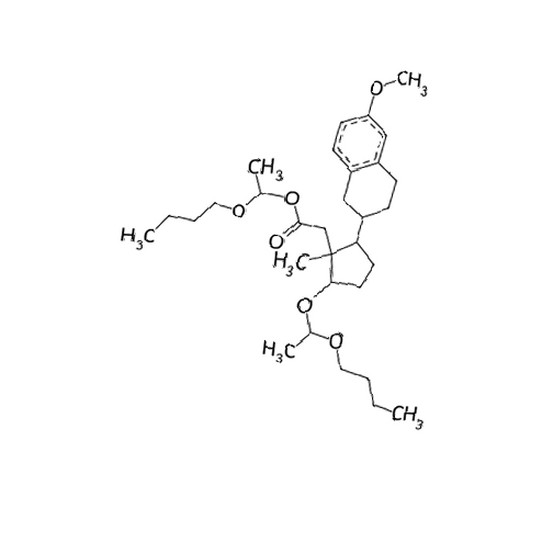 CCCCOC(C)OC(=O)CC1(C)C(OC(C)OCCCC)CCC1C1CCc2cc(OC)ccc2C1